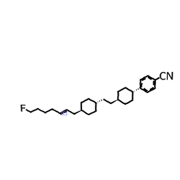 N#Cc1ccc([C@H]2CC[C@H](CC[C@H]3CC[C@H](C/C=C/CCCCF)CC3)CC2)cc1